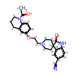 CC(=O)N1CCCc2cc(OCCN3CCC4(CC3)C(=O)Nc3ccc(C#N)cc34)ccc21